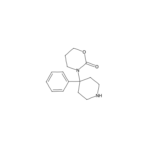 O=C1OCCCN1C1(c2ccccc2)CCNCC1